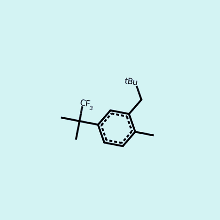 Cc1ccc(C(C)(C)C(F)(F)F)cc1CC(C)(C)C